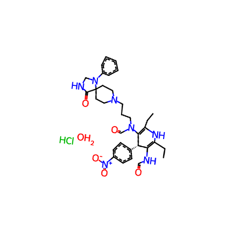 CCC1=C(NC=O)[C@H](c2ccc([N+](=O)[O-])cc2)C(N(C=O)CCCN2CCC3(CC2)C(=O)NCN3c2ccccc2)=C(CC)N1.Cl.O